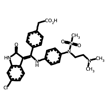 CN(C)CCN(c1ccc(NC(=C2C(=O)Nc3cc(Cl)ccc32)c2ccc(CC(=O)O)cc2)cc1)S(C)(=O)=O